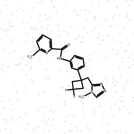 Cn1cnnc1CC1(c2cccc(NC(=O)c3cccc(C(F)(F)F)n3)c2)CC(F)(F)C1